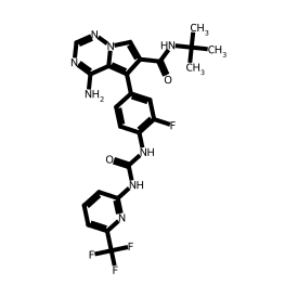 CC(C)(C)NC(=O)c1cn2ncnc(N)c2c1-c1ccc(NC(=O)Nc2cccc(C(F)(F)F)n2)c(F)c1